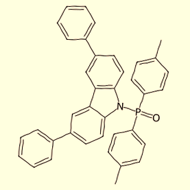 Cc1ccc(P(=O)(c2ccc(C)cc2)n2c3ccc(-c4ccccc4)cc3c3cc(-c4ccccc4)ccc32)cc1